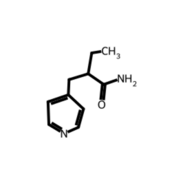 CCC(Cc1ccncc1)C(N)=O